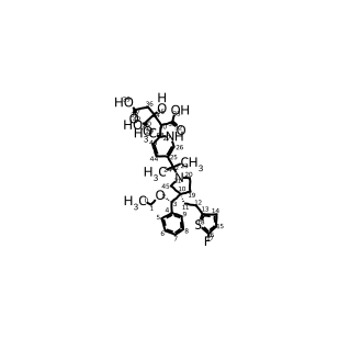 CCO[C@@H](c1ccccc1)[C@]1(CCc2ccc(F)s2)CCN(C(C)(C)C2=CNC(C)(C(C(=O)O)C(O)(CC(=O)O)C(=O)O)C=C2)C1